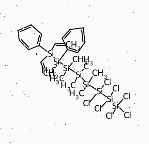 C=C[Si](C=C)(c1ccccc1)[Si](C)(c1ccccc1)[Si](C)(C)[Si](C)(C)[Si](C)(C)[Si](Cl)(Cl)[Si](Cl)(Cl)[Si](Cl)(Cl)Cl